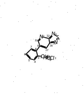 Cl.Cl.Oc1ccccc1-c1cnc2nsnc2c1